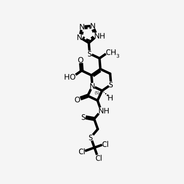 CC(Sc1nnn[nH]1)C1=C(C(=O)O)N2C(=O)C(NC(=S)CSC(Cl)(Cl)Cl)[C@@H]2SC1